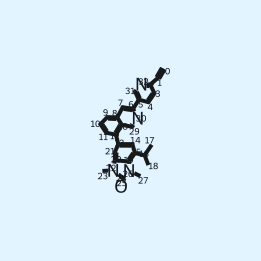 C#Cc1ccc(-c2cc3cccc(-c4cc(C(C)C)c5c(c4)n(C)c(=O)n5C)c3cn2)cn1